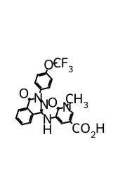 Cn1cc(C(=O)O)cc(Nc2nn(-c3ccc(OC(F)(F)F)cc3)c(=O)c3ccccc23)c1=O